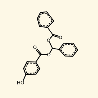 O=C(OC(OC(=O)c1ccc(O)cc1)c1ccccc1)c1ccccc1